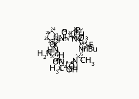 CCCCN1C[C@@H](C)NC(=O)[C@H]([C@H](C)O)NC(=O)[C@H](CN)NC(=O)[C@H](C2CCCCC2)NC(=O)[C@H](CC(C)C)N(C)C(=O)[C@@H]1CCF